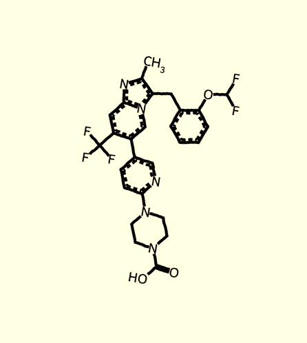 Cc1nc2cc(C(F)(F)F)c(-c3ccc(N4CCN(C(=O)O)CC4)nc3)cn2c1Cc1ccccc1OC(F)F